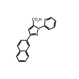 O=C(O)c1cc(-c2ccc3ccccc3c2)nn1-c1ccccn1